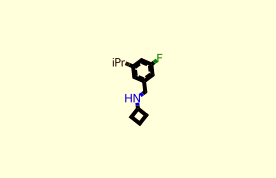 CC(C)c1cc(F)cc(CNC2CCC2)c1